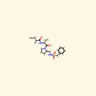 CNC(C)C(=O)N[C@H](C(=O)N1CCCC1CNS(=O)(=O)Cc1ccccc1)C(C)C